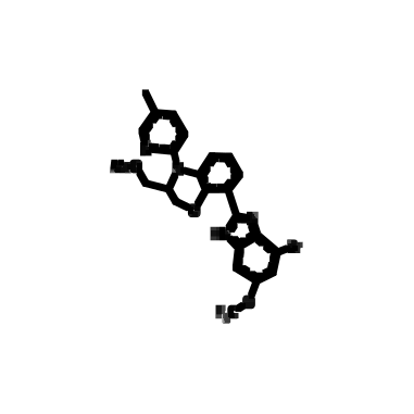 COCC1COc2c(-c3nc4c(Br)cc(OC(F)(F)F)cc4[nH]3)cccc2N1c1ccc(C)cn1